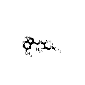 C=N/C=C(C)\C(N)=N/Cc1c[nH]c2ncc(C)cc12